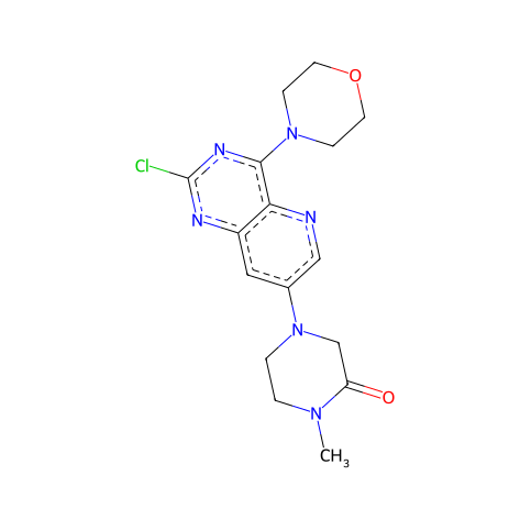 CN1CCN(c2cnc3c(N4CCOCC4)nc(Cl)nc3c2)CC1=O